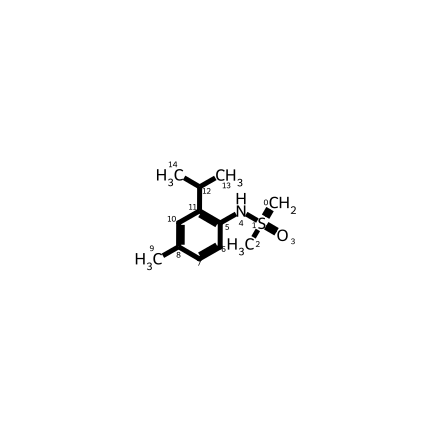 C=S(C)(=O)Nc1ccc(C)cc1C(C)C